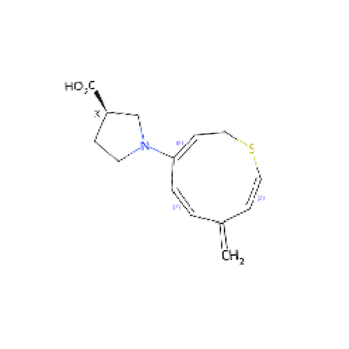 C=C1/C=C\SC/C=C(N2CC[C@@H](C(=O)O)C2)\C=C/1